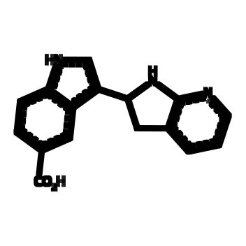 O=C(O)c1ccc2[nH]cc(C3Cc4cccnc4N3)c2c1